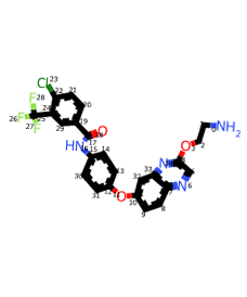 NCCOc1cnc2ccc(Oc3ccc(NC(=O)c4ccc(Cl)c(C(F)(F)F)c4)cc3)cc2n1